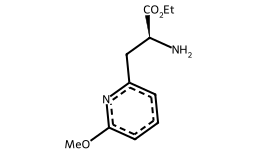 CCOC(=O)[C@@H](N)Cc1cccc(OC)n1